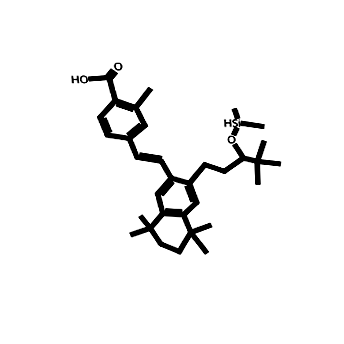 Cc1cc(C=Cc2cc3c(cc2CCC(O[SiH](C)C)C(C)(C)C)C(C)(C)CCC3(C)C)ccc1C(=O)O